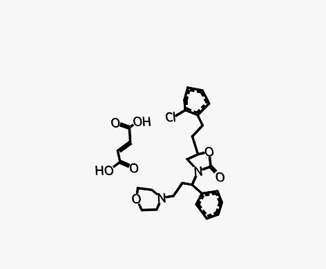 O=C(O)/C=C/C(=O)O.O=C1OC(CCc2ccccc2Cl)CN1C(CCN1CCOCC1)c1ccccc1